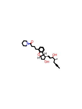 CC#CC[C@H](C)[C@H](O)/C=C/[C@@H]1[C@H]2c3cccc(CCCC(=O)N4CCCCC4)c3O[C@H]2C[C@H]1O